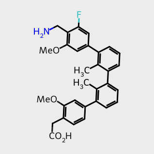 COc1cc(-c2cccc(-c3cccc(-c4cc(F)c(CN)c(OC)c4)c3C)c2C)ccc1CC(=O)O